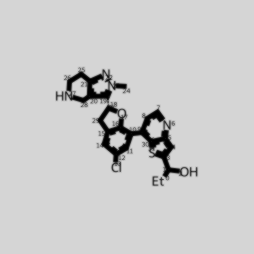 CCC(O)c1cc2nccc(-c3cc(Cl)cc4c3O[C@@H](c3c5c(nn3C)CCNC5)C4)c2s1